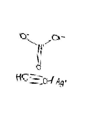 C#C.O=[N+]([O-])[O-].[Ag+]